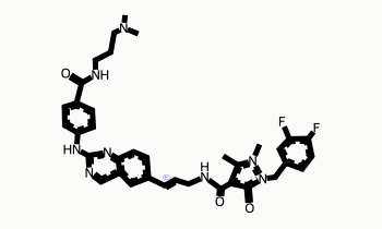 Cc1c(C(=O)NC/C=C/c2ccc3nc(Nc4ccc(C(=O)NCCCN(C)C)cc4)ncc3c2)c(=O)n(Cc2ccc(F)c(F)c2)n1C